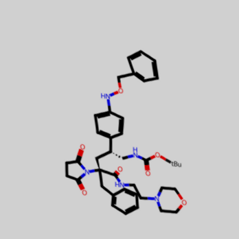 CC(C)(C)OC(=O)NC[C@H](C[C@](Cc1ccccc1)(C(=O)NCCN1CCOCC1)N1C(=O)CCC1=O)c1ccc(NOCc2ccccc2)cc1